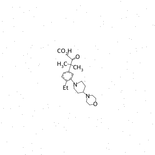 CCc1ccc(C(C)(C)C(=O)CC(=O)O)cc1N1CCC(N2CCOCC2)CC1